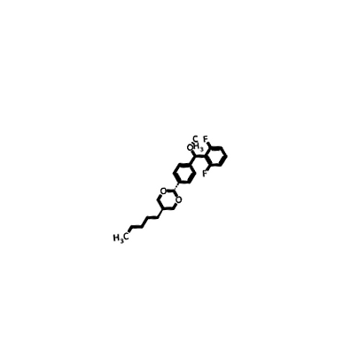 CCCCC[C@H]1CO[C@H](c2ccc(C(OC)c3c(F)cccc3F)cc2)OC1